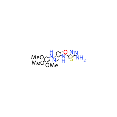 COc1cc(Nc2nccc3c(NC(=O)c4csc5c(N)ncnc45)c(C)ccc23)cc(OC)c1OC